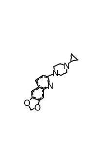 c1cc2cc3c(cc2nc1N1CCN(C2CC2)CC1)OCO3